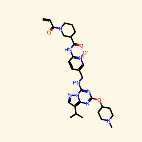 C=CC(=O)N1CCCC(C(=O)Nc2ccc(CNc3nc(OC4CCN(C)CC4)nc4c(C(C)C)cnn34)c[n+]2[O-])C1